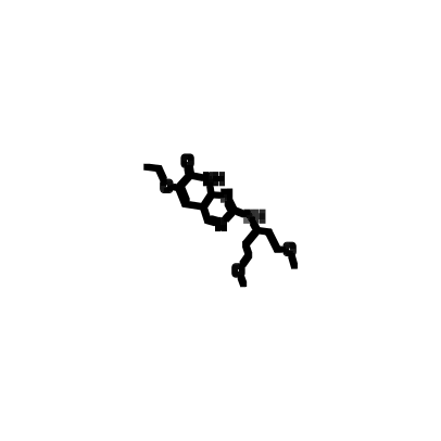 CCOC1=CC2C=NC(NC(CCOC)CCOC)=NC2NC1=O